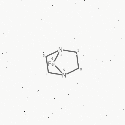 C1C[N]2CC[N]1[Fe]2